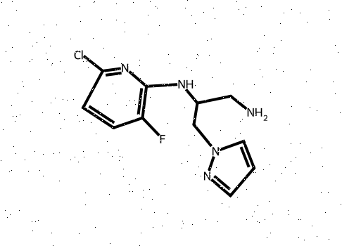 NCC(Cn1cccn1)Nc1nc(Cl)ccc1F